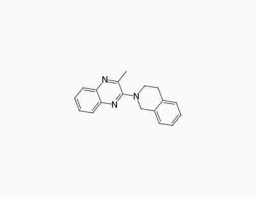 Cc1nc2ccccc2nc1N1CCc2ccccc2C1